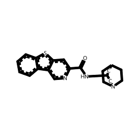 O=C(NC1CC2CCN(CC2)C1)c1cc2sc3ccccc3c2cn1